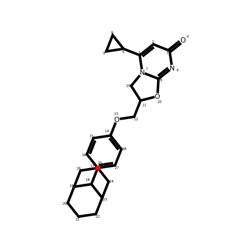 O=c1cc(C2CC2)n2c(n1)OC(COc1ccc(C3C4CCCC3CCC4)cc1)C2